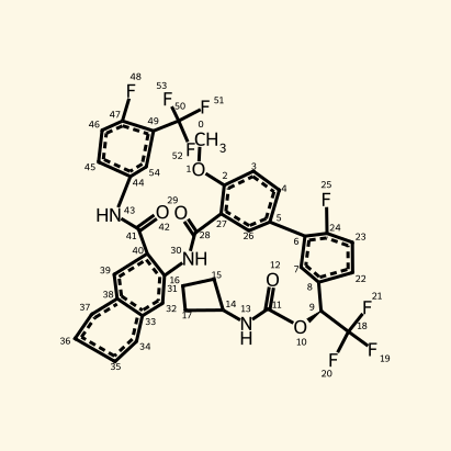 COc1ccc(-c2cc([C@H](OC(=O)NC3CCC3)C(F)(F)F)ccc2F)cc1C(=O)Nc1cc2ccccc2cc1C(=O)Nc1ccc(F)c(C(F)(F)F)c1